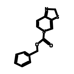 O=C(OCc1ccccc1)N1C=CC2=NCSC2=C1